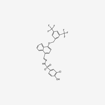 O=S(=O)(N/N=C/c1ccc(OCc2cc(C(F)(F)F)cc(C(F)(F)F)c2)c2ccccc12)c1ccc(O)c(Cl)c1